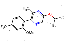 CCC(CC)Oc1cnc(-c2ccc(C(F)(F)F)cc2OC)c(C)n1